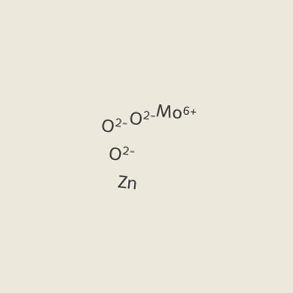 [Mo+6].[O-2].[O-2].[O-2].[Zn]